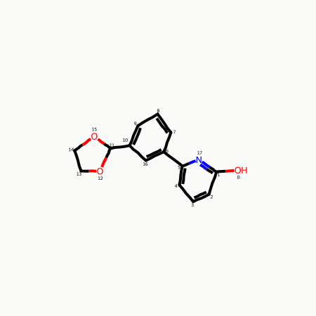 Oc1cccc(-c2cccc(C3OCCO3)c2)n1